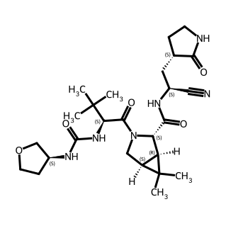 CC(C)(C)[C@H](NC(=O)N[C@H]1CCOC1)C(=O)N1C[C@H]2[C@@H]([C@H]1C(=O)N[C@H](C#N)C[C@@H]1CCNC1=O)C2(C)C